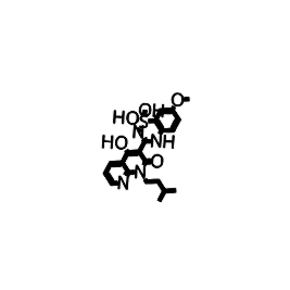 COc1ccc2c(c1)S(O)(O)N=C(c1c(O)c3cccnc3n(CCC(C)C)c1=O)N2